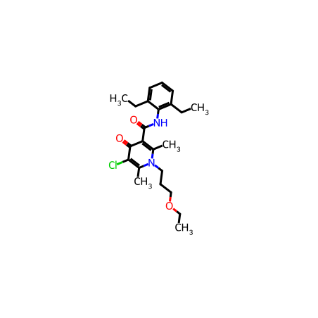 CCOCCCn1c(C)c(Cl)c(=O)c(C(=O)Nc2c(CC)cccc2CC)c1C